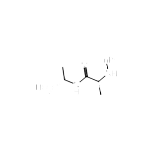 CCCN[C@@H](C)C(=O)N[C@@H](C)C(=O)O